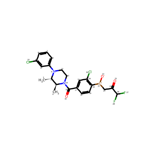 C[C@H]1[C@H](C)N(c2cccc(Cl)c2)CCN1C(=O)c1ccc([S+]([O-])CC(=O)C(F)F)c(Cl)c1